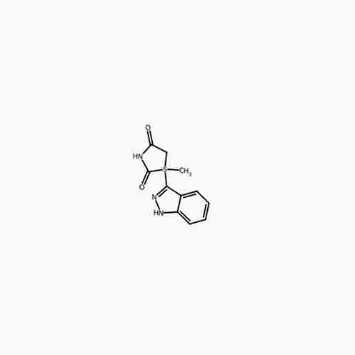 CS1(c2n[nH]c3ccccc23)CC(=O)NC1=O